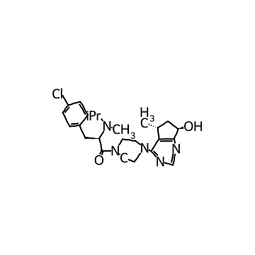 CC(C)N(C)[C@H](Cc1ccc(Cl)cc1)C(=O)N1CCN(c2ncnc3c2[C@H](C)C[C@H]3O)CC1